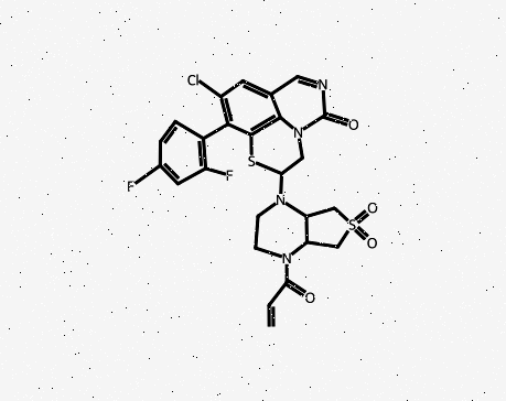 C=CC(=O)N1CCN(C2Cn3c(=O)ncc4cc(Cl)c(-c5ccc(F)cc5F)c(c43)S2)C2CS(=O)(=O)CC21